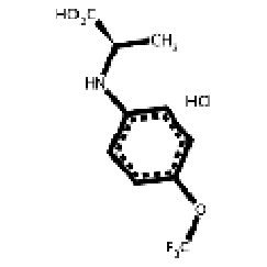 C[C@@H](Nc1ccc(OC(F)(F)F)cc1)C(=O)O.Cl